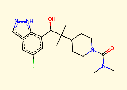 CN(C)C(=O)N1CCC(C(C)(C)[C@H](O)c2cc(Cl)cc3cn[nH]c23)CC1